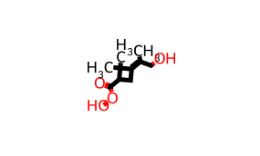 C/C(CO)=C1/CC(C(=O)OO)C1(C)C